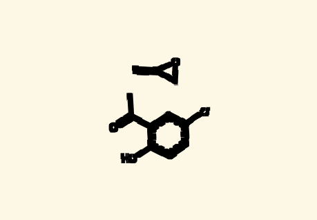 C=C1CO1.CC(=O)c1cc(Cl)ccc1O